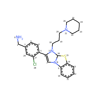 NCc1ccc(C2=CN3c4ccccc4SC3N2CCCN2CCCCC2)c(Cl)c1